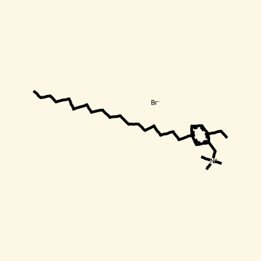 CCCCCCCCCCCCCCCCCCc1ccc(CC)c(C[N+](C)(C)C)c1.[Br-]